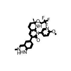 CN/C=C1/C=C(c2cc3c(n(-c4ccc(OC)nc4)c2=O)N[C@@](C)(OCC(F)(F)F)C=C3)C=CC1=N